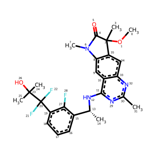 COC1(C)C(=O)N(C)c2cc3c(N[C@H](C)c4cccc(C(F)(F)C(C)(C)O)c4F)nc(C)nc3cc21